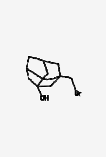 OC12CC3CC(C1)CC(CBr)(C3)C2